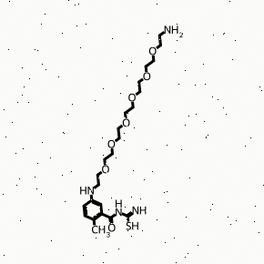 Cc1ccc(NCCOCCOCCOCCOCCOCCOCCN)cc1C(=O)NC(=N)S